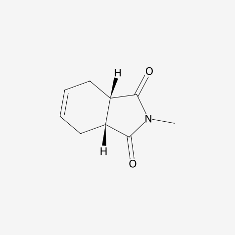 CN1C(=O)[C@H]2CC=CC[C@H]2C1=O